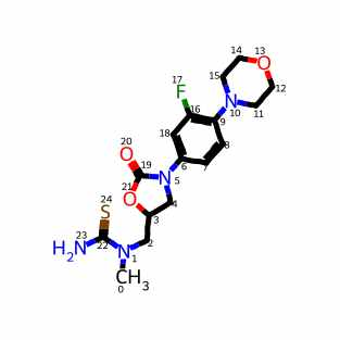 CN(CC1CN(c2ccc(N3CCOCC3)c(F)c2)C(=O)O1)C(N)=S